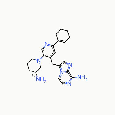 Nc1nccn2c(Cc3cc(C4=CCCCC4)ncc3N3CCC[C@@H](N)C3)cnc12